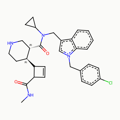 CNC(=O)C1C=CC1[C@H]1CCNC[C@@H]1C(=O)N(Cc1cn(Cc2ccc(Cl)cc2)c2ccccc12)C1CC1